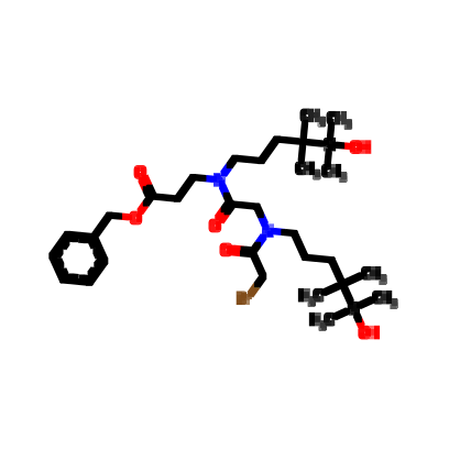 CC(C)(CCCN(CCC(=O)OCc1ccccc1)C(=O)CN(CCCC(C)(C)[Si](C)(C)O)C(=O)CBr)[Si](C)(C)O